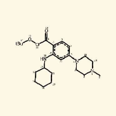 CN1CCN(c2ccc(C(=O)OOC(C)(C)C)c(NC3CCCCC3)c2)CC1